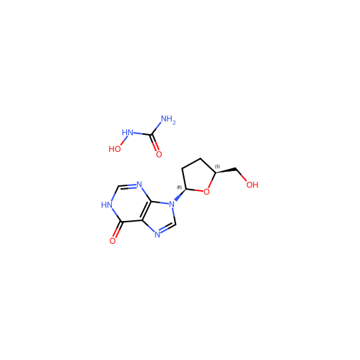 NC(=O)NO.O=c1[nH]cnc2c1ncn2[C@H]1CC[C@@H](CO)O1